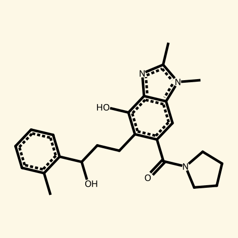 Cc1ccccc1C(O)CCc1c(C(=O)N2CCCC2)cc2c(nc(C)n2C)c1O